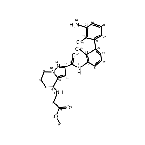 COC(=O)CN[C@H]1CCCn2nc(C(=O)Nc3cccc(-c4cccc(N)c4Cl)c3Cl)cc21